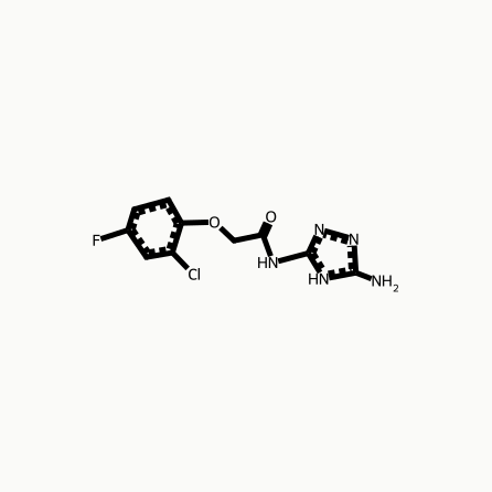 Nc1nnc(NC(=O)COc2ccc(F)cc2Cl)[nH]1